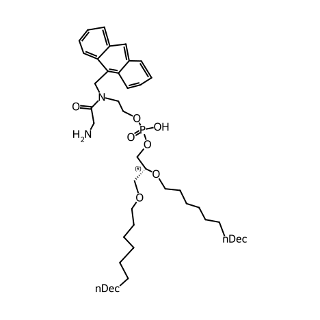 CCCCCCCCCCCCCCCCOC[C@H](COP(=O)(O)OCCN(Cc1c2ccccc2cc2ccccc12)C(=O)CN)OCCCCCCCCCCCCCCCC